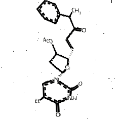 CCc1cn([C@@H]2CC(OC(C)=O)[C@H](/C=C/C(=O)C(C)c3ccccc3)O2)c(=O)[nH]c1=O